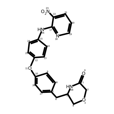 O=C1COCC(Cc2ccc(Oc3ccc(Nc4ncccc4[N+](=O)[O-])cc3)cc2)N1